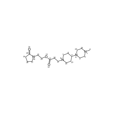 CN1CCN(C2CCN(CCC(=O)OCCN3CCCC3=O)CC2)CC1